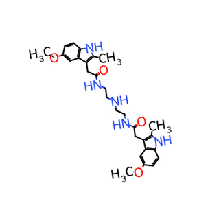 COc1ccc2[nH]c(C)c(CC(=O)NCCNCCNC(=O)Cc3c(C)[nH]c4ccc(OC)cc34)c2c1